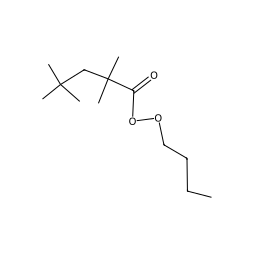 CCCCOOC(=O)C(C)(C)CC(C)(C)C